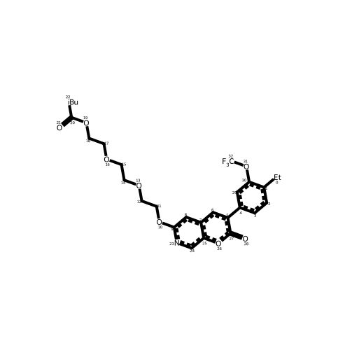 CCc1ccc(-c2cc3cc(OCCOCCOCCOC(=O)C(C)CC)ncc3oc2=O)cc1OC(F)(F)F